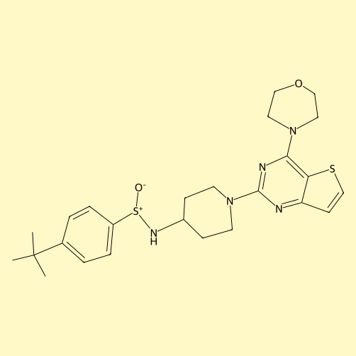 CC(C)(C)c1ccc([S+]([O-])NC2CCN(c3nc(N4CCOCC4)c4sccc4n3)CC2)cc1